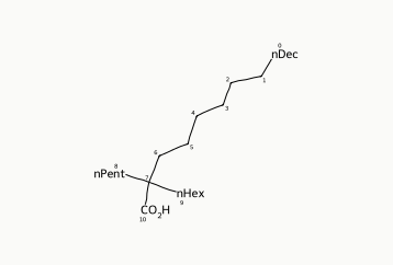 CCCCCCCCCCCCCCCCC(CCCCC)(CCCCCC)C(=O)O